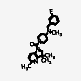 Cc1ccc2c(n1)C(C)(C)CN2C(=O)N1CCC(N(C)Cc2cccc(F)c2)CC1